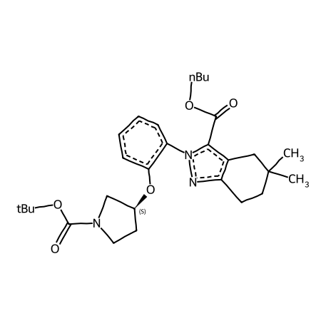 CCCCOC(=O)c1c2c(nn1-c1ccccc1O[C@H]1CCN(C(=O)OC(C)(C)C)C1)CCC(C)(C)C2